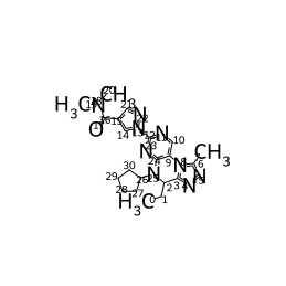 CCC1c2nnc(C)n2-c2cnc(-n3cc(C(=O)N(C)C)cn3)nc2N1C1CCCC1